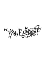 Cc1cccc(Cl)c1S(=O)(=O)N[C@@H](Cc1ccc(OCCCONC(=N)N)cc1)C(=O)OC(=O)C(F)(F)F